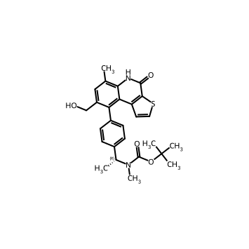 Cc1cc(CO)c(-c2ccc([C@@H](C)N(C)C(=O)OC(C)(C)C)cc2)c2c1[nH]c(=O)c1sccc12